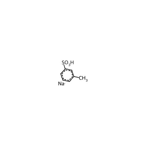 Cc1cccc(S(=O)(=O)O)c1.[Na]